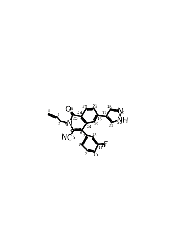 C=CCn1c(C#N)c(-c2cccc(F)c2)c2cc(-c3cn[nH]c3)ccc2c1=O